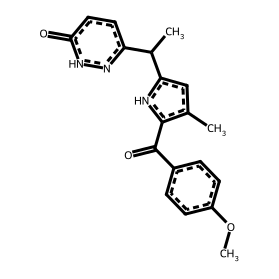 COc1ccc(C(=O)c2[nH]c(C(C)c3ccc(=O)[nH]n3)cc2C)cc1